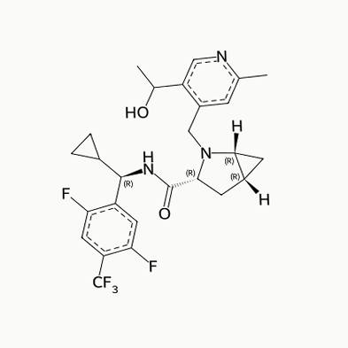 Cc1cc(CN2[C@@H](C(=O)N[C@@H](c3cc(F)c(C(F)(F)F)cc3F)C3CC3)C[C@H]3C[C@H]32)c(C(C)O)cn1